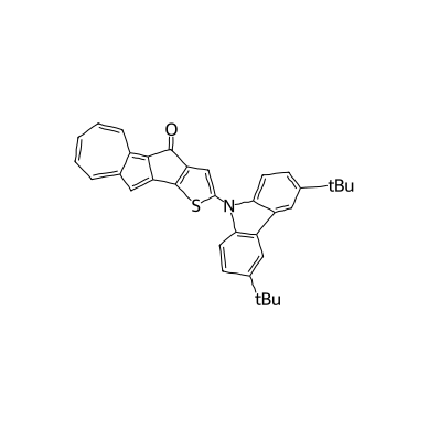 CC(C)(C)c1ccc2c(c1)c1cc(C(C)(C)C)ccc1n2-c1cc2c(s1)-c1cc3cccccc-3c1C2=O